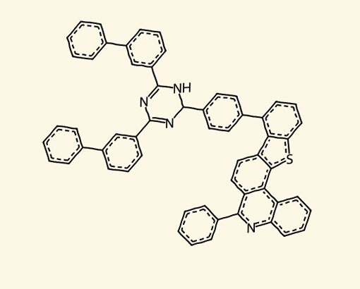 c1ccc(-c2cccc(C3=NC(c4ccc(-c5cccc6sc7c(ccc8c(-c9ccccc9)nc9ccccc9c87)c56)cc4)NC(c4cccc(-c5ccccc5)c4)=N3)c2)cc1